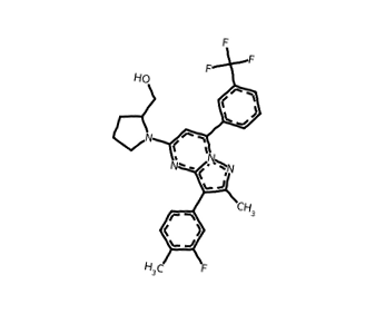 Cc1ccc(-c2c(C)nn3c(-c4cccc(C(F)(F)F)c4)cc(N4CCCC4CO)nc23)cc1F